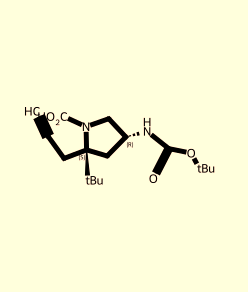 C#CC[C@@]1(C(C)(C)C)C[C@@H](NC(=O)OC(C)(C)C)CN1C(=O)O